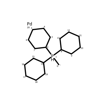 [CH2][PH](C1CCCCC1)(C1CCCCC1)C1CCCCC1.[Pd]